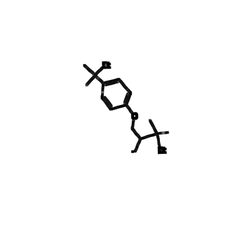 [CH2]C(COc1ccc(C(C)(C)CC)cc1)C(C)(C)CC